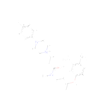 CCN(CCC(C)Oc1ccc([N+](=O)[O-])c(OCC(C)C)c1)C(=O)CCN1CCN(c2ccc(C)cc2)CC1